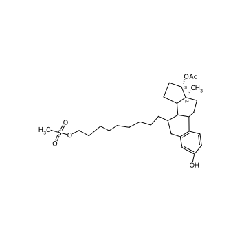 CC(=O)O[C@H]1CCC2C3C(CCCCCCCCCOS(C)(=O)=O)Cc4cc(O)ccc4C3CC[C@@]21C